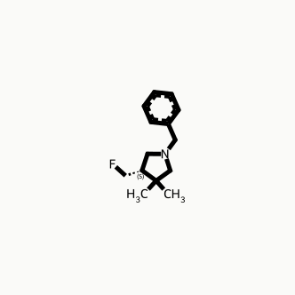 CC1(C)CN(Cc2ccccc2)C[C@H]1CF